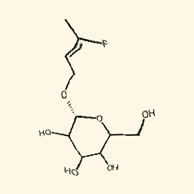 C/C(F)=C/CO[C@@H]1OC(CO)C(O)C(O)C1O